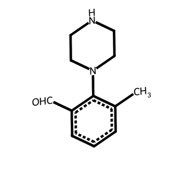 Cc1cccc(C=O)c1N1CCNCC1